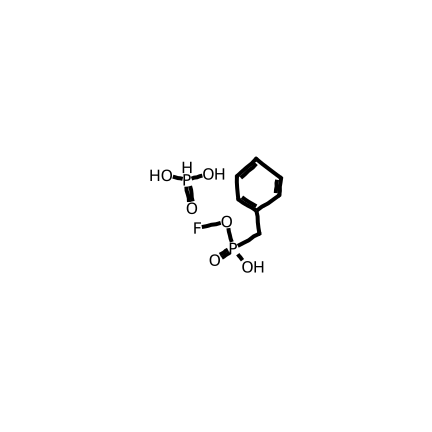 O=P(O)(Cc1ccccc1)OF.O=[PH](O)O